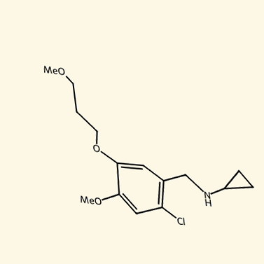 COCCCOc1cc(CNC2CC2)c(Cl)cc1OC